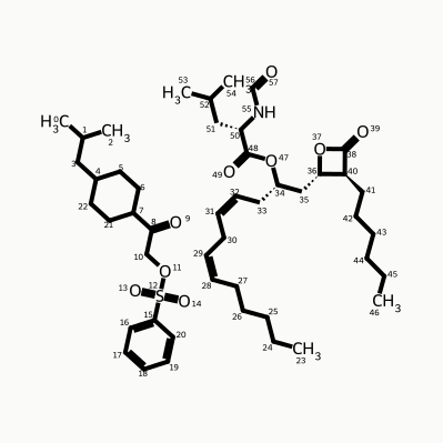 CC(C)CC1CCC(C(=O)COS(=O)(=O)c2ccccc2)CC1.CCCCC/C=C\C/C=C\C[C@@H](C[C@@H]1OC(=O)[C@H]1CCCCCC)OC(=O)[C@H](CC(C)C)NC=O